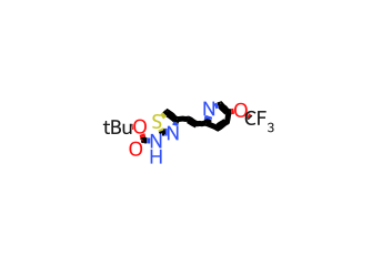 CC(C)(C)OC(=O)Nc1nc(C=Cc2ccc(OC(F)(F)F)cn2)cs1